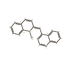 CCN1C(=Cc2ccnc3ccccc23)C=Cc2ccccc21